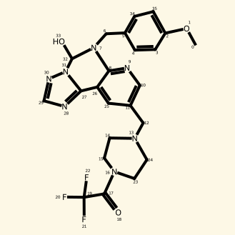 COc1ccc(CN2c3ncc(CN4CCN(C(=O)C(F)(F)F)CC4)cc3-c3ncnn3C2O)cc1